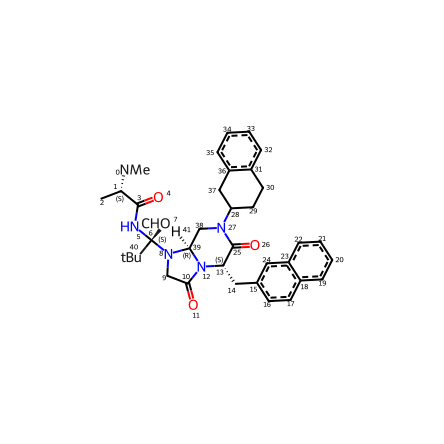 CN[C@@H](C)C(=O)N[C@](C=O)(N1CC(=O)N2[C@@H](Cc3ccc4ccccc4c3)C(=O)N(C3CCc4ccccc4C3)C[C@@H]21)C(C)(C)C